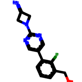 N=C1CN(c2ncc(-c3cccc(CO)c3F)cn2)C1